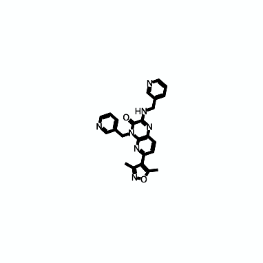 Cc1noc(C)c1-c1ccc2nc(NCc3cccnc3)c(=O)n(Cc3cccnc3)c2n1